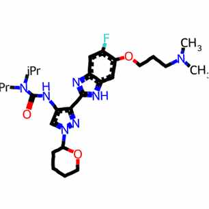 CC(C)N(C(=O)Nc1cn(C2CCCCO2)nc1-c1nc2cc(F)c(OCCCN(C)C)cc2[nH]1)C(C)C